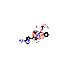 CC(C)C(=O)O[C@H]1[C@H](c2ccc3c(N)ncnn23)O[C@]2(C#N)C(OP(=O)(N[C@@H](C)C(=O)OCC(C)(C)O)Oc3ccccc3)[C@]12OC(=O)C(C)C